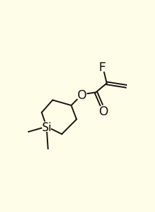 C=C(F)C(=O)OC1CC[Si](C)(C)CC1